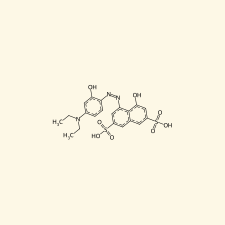 CCN(CC)c1ccc(/N=N\c2cc(S(=O)(=O)O)cc3cc(S(=O)(=O)O)cc(O)c23)c(O)c1